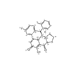 Cc1ccccc1C(c1ccc(F)cc1)[C@H]1[C@H]2CCCN2C(=O)c2c(O)c(=O)cnn21